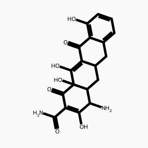 NC(=O)C1=C(O)C(N)C2CC3Cc4cccc(O)c4C(=O)C3=C(O)C2(O)C1=O